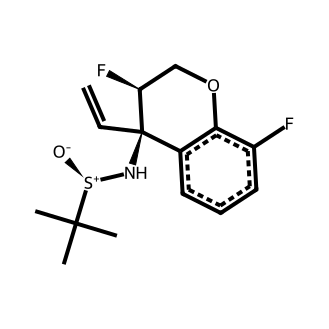 C=C[C@@]1(N[S@+]([O-])C(C)(C)C)c2cccc(F)c2OC[C@@H]1F